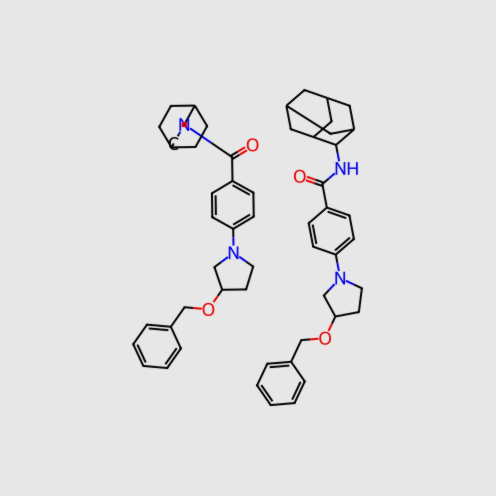 O=C(NC1C2CC3CC(C2)CC1C3)c1ccc(N2CCC(OCc3ccccc3)C2)cc1.O=C(c1ccc(N2CCC(OCc3ccccc3)C2)cc1)N1CC2CCC(CC2)C1